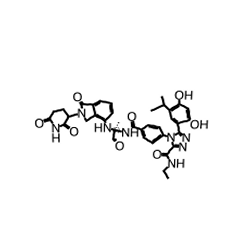 CCNC(=O)c1nnc(-c2cc(C(C)C)c(O)cc2O)n1-c1ccc(C(=O)N[C@@](C)(C=O)Nc2cccc3c2CN(C2CCC(=O)NC2=O)C3=O)cc1